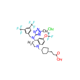 CCN(C[C@H]1CC[C@H](CCC(=O)O)CC1)c1ccc(OC(F)(F)F)cc1CN(Cc1cc(C(F)(F)F)cc(C(F)(F)F)c1)c1nnn(C)n1.Cl